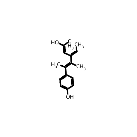 C/C=C(\C=C(/C)O)C(/C)=C(\C)c1ccc(O)cc1